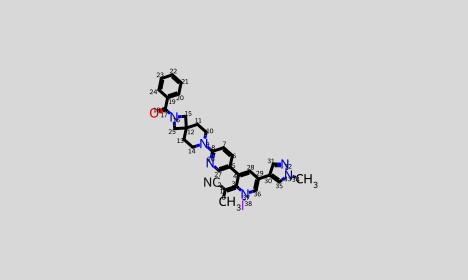 C/C(C#N)=C1/C(c2ccc(N3CCC4(CC3)CN(C(=O)c3ccccc3)C4)nc2)=CC(c2cnn(C)c2)=CN1I